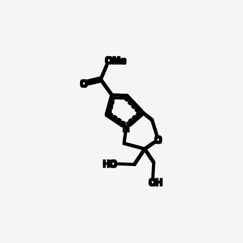 COC(=O)c1cc2n(c1)CC(CO)(CO)OC2